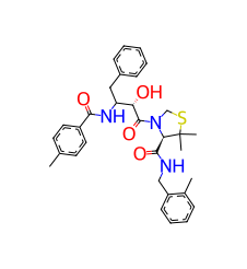 Cc1ccc(C(=O)NC(Cc2ccccc2)[C@H](O)C(=O)N2CSC(C)(C)[C@H]2C(=O)NCc2ccccc2C)cc1